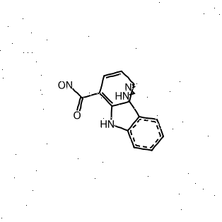 O=NC(=O)C1=C2Nc3ccccc3C23NCN=C3C=C1